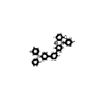 c1ccc(N(c2ccccc2)c2ccc(-c3cccc(-c4ccc5c(c4)Oc4cccc6c4N5c4ccccc4O6)c3)cc2)cc1